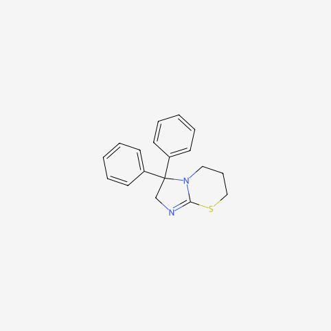 c1ccc(C2(c3ccccc3)CN=C3SCCCN32)cc1